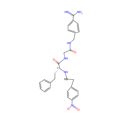 N=C(N)c1ccc(CNC(=O)CNC(=O)[C@@H](CCc2ccccc2)NBCc2ccc([N+](=O)[O-])cc2)cc1